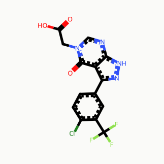 O=C(O)Cn1cnc2[nH]nc(-c3ccc(Cl)c(C(F)(F)F)c3)c2c1=O